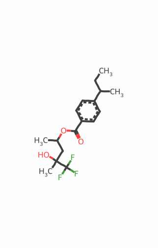 CCC(C)c1ccc(C(=O)OC(C)CC(C)(O)C(F)(F)F)cc1